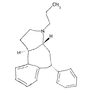 CCCN1CC[C@@H]2c3ccccc3[C@@H](c3ccccc3)C[C@H]21